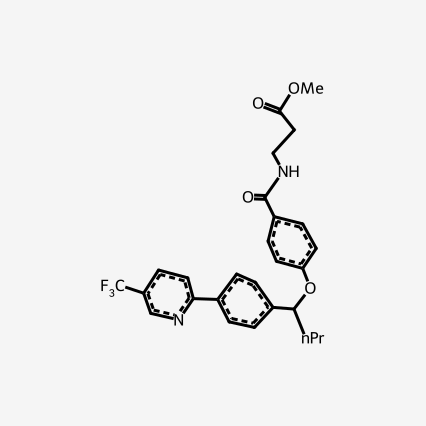 CCCC(Oc1ccc(C(=O)NCCC(=O)OC)cc1)c1ccc(-c2ccc(C(F)(F)F)cn2)cc1